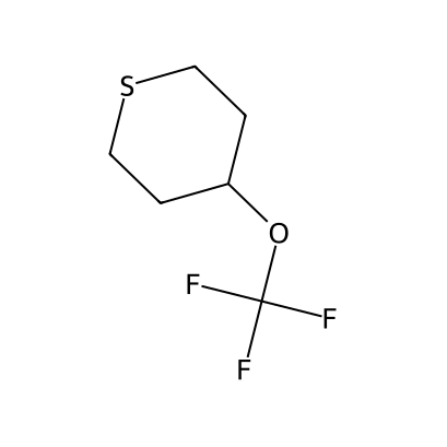 FC(F)(F)OC1CCSCC1